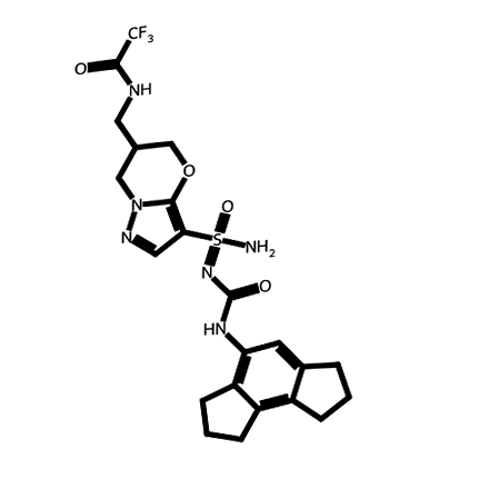 NS(=O)(=NC(=O)Nc1cc2c(c3c1CCC3)CCC2)c1cnn2c1OCC(CNC(=O)C(F)(F)F)C2